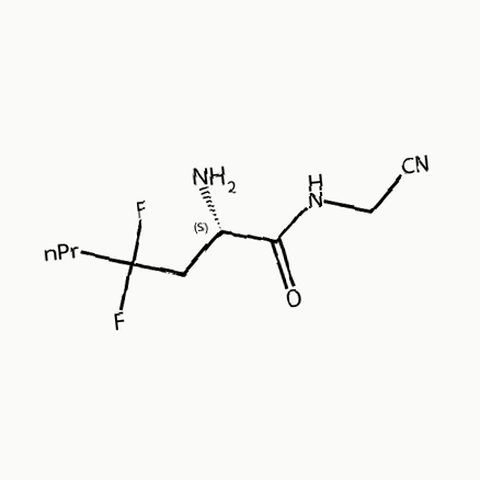 CCCC(F)(F)C[C@H](N)C(=O)NCC#N